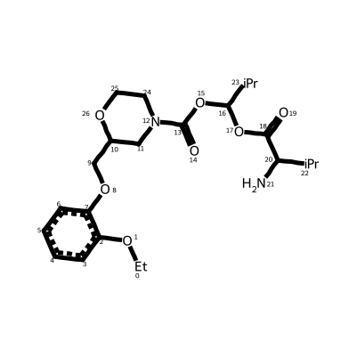 CCOc1ccccc1OCC1CN(C(=O)OC(OC(=O)C(N)C(C)C)C(C)C)CCO1